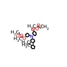 C=CC(=O)OC(C)Oc1cccc(N(c2cccc(OC(C)OC(=O)C=C)c2)c2ccc3c(c2)C(C)(C)c2ccccc2-3)c1